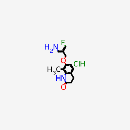 Cc1c(OC/C(=C/F)CN)ccc2c1NC(=O)CC2.Cl